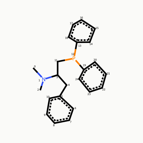 CN(C)C(Cc1ccccc1)CP(c1ccccc1)c1ccccc1